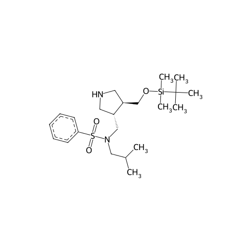 CC(C)CN(C[C@@H]1CNC[C@H]1CO[Si](C)(C)C(C)(C)C)S(=O)(=O)c1ccccc1